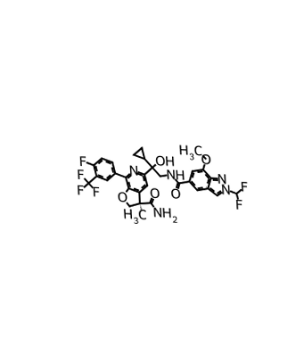 COc1cc(C(=O)NCC(O)(c2cc3c(c(-c4ccc(F)c(C(F)(F)F)c4)n2)OC[C@]3(C)C(N)=O)C2CC2)cc2cn(C(F)F)nc12